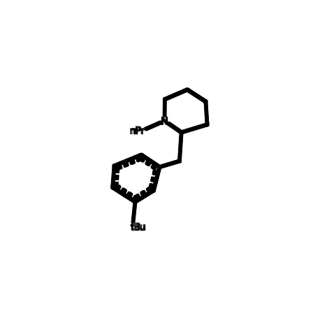 CCCN1CCCCC1Cc1cccc(C(C)(C)C)c1